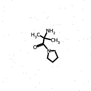 CC(C)(N)C(=O)N1CCCC1